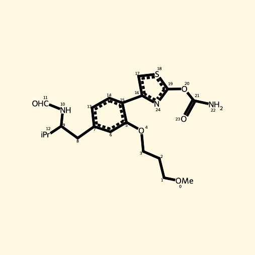 COCCCOc1cc(CC(NC=O)C(C)C)ccc1-c1csc(OC(N)=O)n1